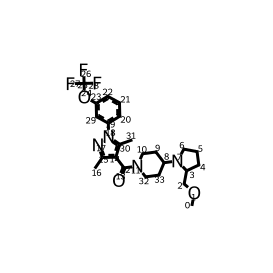 COCC1CCCN1C1CCN(C(=O)c2c(C)nn(-c3cccc(OC(F)(F)F)c3)c2C)CC1